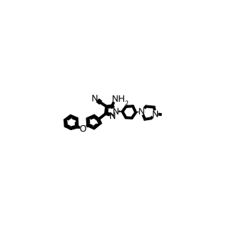 CN1CCN([C@H]2CC[C@H](n3nc(-c4ccc(Oc5ccccc5)cc4)c(C#N)c3N)CC2)CC1